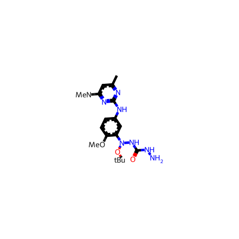 CNc1cc(C)nc(Nc2ccc(OC)c(N(NC(=O)NN)OC(C)(C)C)c2)n1